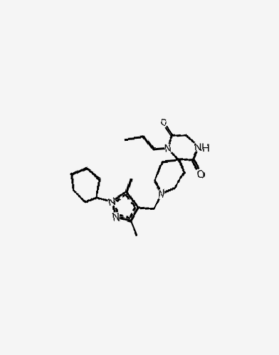 CCCN1C(=O)CNC(=O)C12CCN(Cc1c(C)nn(C3CCCCC3)c1C)CC2